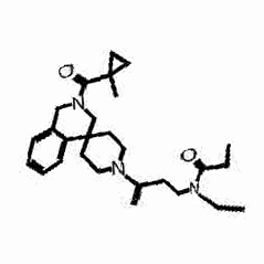 CCC(=O)N(CC)CCC(C)N1CCC2(CC1)CN(C(=O)C1(C)CC1)Cc1ccccc12